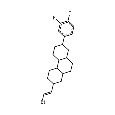 CC/C=C/C1CCC2C(CCC3CC(c4ccc(F)c(F)c4)CCC32)C1